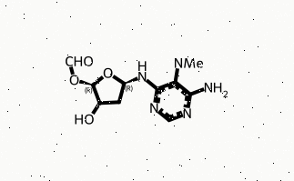 CNc1c(N)ncnc1N[C@H]1CC(O)[C@@H](OC=O)O1